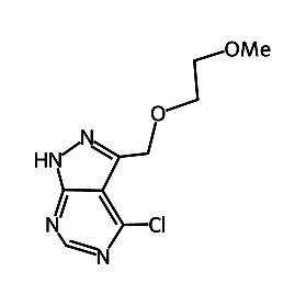 COCCOCc1n[nH]c2ncnc(Cl)c12